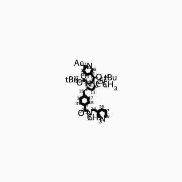 CC(=O)c1ccc([C@@H](O[Si](C)(C)C(C)(C)C)[C@H]2CC[C@@H](Cc3ccc(C(=O)N(C)Cc4cccnc4)cc3)N2C(=O)OC(C)(C)C)cn1